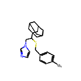 CC(C)(C)c1ccc(CSC(Cn2ccnc2)C23CC4CC(CC(C4)C2)C3)cc1